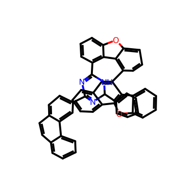 c1ccc(C2N=C(c3ccc4ccc5ccccc5c4c3)N=C(c3cccc4oc5cccc(-c6cc7ccccc7c7oc8ccccc8c67)c5c34)N2)cc1